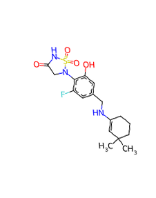 CC1(C)C=C(NCc2cc(O)c(N3CC(=O)NS3(=O)=O)c(F)c2)CCC1